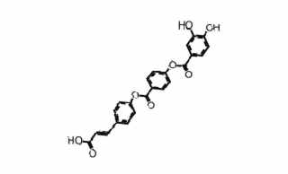 O=C(O)C=Cc1ccc(OC(=O)c2ccc(OC(=O)c3ccc(O)c(O)c3)cc2)cc1